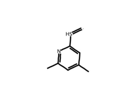 [CH]=[SH]c1cc(C)cc(C)n1